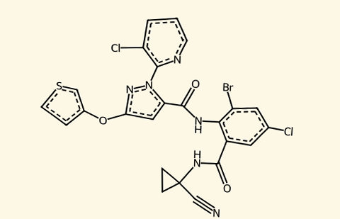 N#CC1(NC(=O)c2cc(Cl)cc(Br)c2NC(=O)c2cc(Oc3ccsc3)nn2-c2ncccc2Cl)CC1